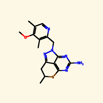 COc1c(C)cnc(Cn2nc3c4c(nc(N)nc42)SC(C)C3)c1C